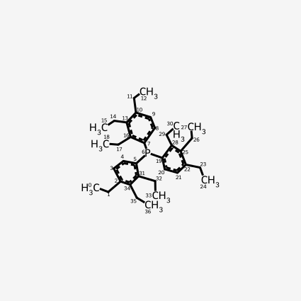 CCc1ccc(P(c2ccc(CC)c(CC)c2CC)c2ccc(CC)c(CC)c2CC)c(CC)c1CC